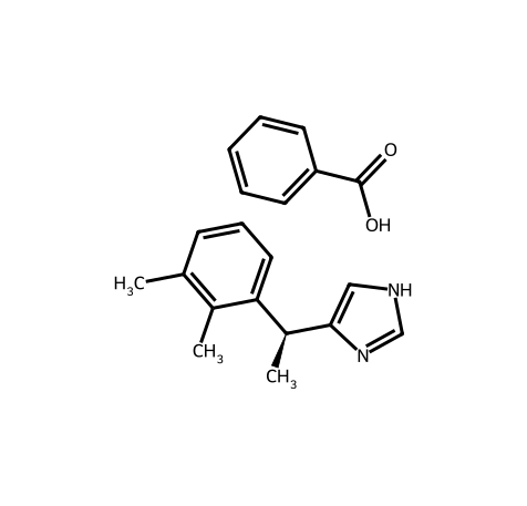 Cc1cccc([C@H](C)c2c[nH]cn2)c1C.O=C(O)c1ccccc1